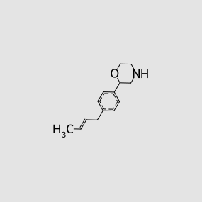 CC=CCc1ccc(C2CNCCO2)cc1